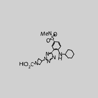 CNS(=O)(=O)c1ccc(NC2CCCCC2)c(-c2nnn(C3CN(C(=O)O)C3)n2)c1